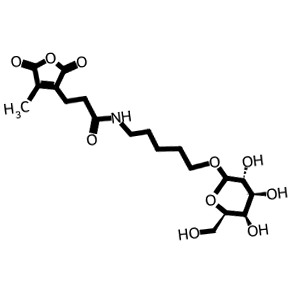 CC1=C(CCC(=O)NCCCCCOC2O[C@H](CO)[C@H](O)[C@H](O)[C@H]2O)C(=O)OC1=O